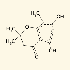 Cc1c(O)cc(O)c2c1OC(C)(C)CC2=O